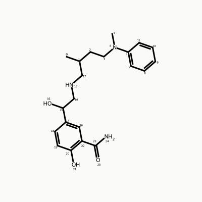 CC(CCN(C)c1ccccc1)CNCC(O)c1ccc(O)c(C(N)=O)c1